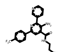 CSCCNC(=O)c1cc(-c2ccc(C(F)(F)F)cc2)nc(-c2cccnc2)c1N